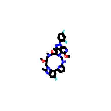 CCC1C(=O)N(C)CC(OC)Cn2c(C)nc3cc(F)cc(c32)-c2cccc(n2)NCN1c1c(OC)ncc2c1cnn2-c1ccc(F)cc1F